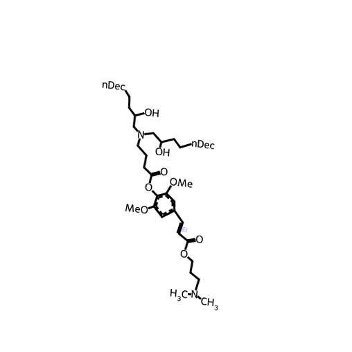 CCCCCCCCCCCCC(O)CN(CCCC(=O)Oc1c(OC)cc(/C=C/C(=O)OCCCN(C)C)cc1OC)CC(O)CCCCCCCCCCCC